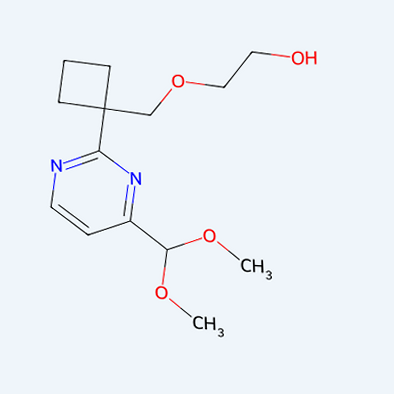 COC(OC)c1ccnc(C2(COCCO)CCC2)n1